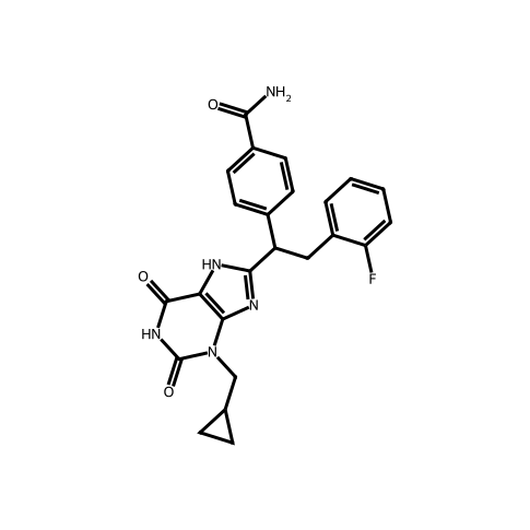 NC(=O)c1ccc(C(Cc2ccccc2F)c2nc3c([nH]2)c(=O)[nH]c(=O)n3CC2CC2)cc1